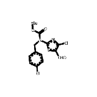 CC(C)(C)OC(=O)N(Cc1ccc(Cl)cc1)c1nc(Cl)c(C=O)s1